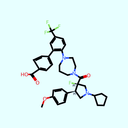 COc1ccc([C@@H]2CN(C3CCCC3)C[C@@]2(F)C(=O)N2CCCN(c3ccc(C(F)(F)F)cc3-c3ccc(C(=O)O)cc3)CC2)cc1